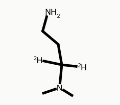 [2H]C([2H])(CCN)N(C)C